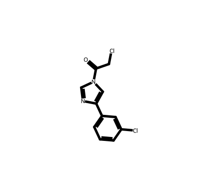 O=C(CCl)n1cnc(-c2cccc(Cl)c2)c1